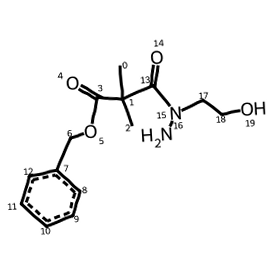 CC(C)(C(=O)OCc1ccccc1)C(=O)N(N)CCO